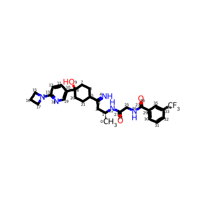 C[C@H](CC(=N)C1CCC(O)(c2ccc(N3CCC3)nc2)CC1)NC(=O)CNC(=O)c1cccc(C(F)(F)F)c1